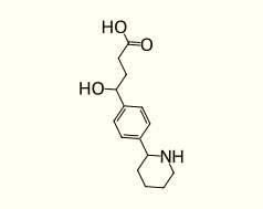 O=C(O)CCC(O)c1ccc(C2CCCCN2)cc1